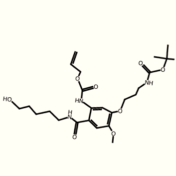 C=CCOC(=O)Nc1cc(OCCCNC(=O)OC(C)(C)C)c(OC)cc1C(=O)NCCCCCO